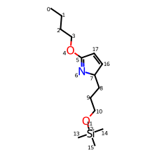 CCCCOC1=NC(CCCO[Si](C)(C)C)C=C1